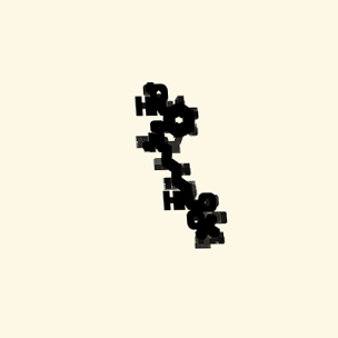 CONc1ccccc1SN(C)CCCCCNC(=O)OC(C)(C)C